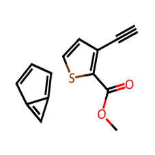 C#Cc1ccsc1C(=O)OC.c1cc2cc-2c1